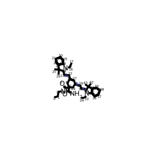 CCCNC(=O)C1(C(N)=O)CC(/C=C/C2=[N+](CC)c3ccccc3C2(C)C)=CC(=C/C=C2/N(CC)c3ccccc3C2(C)C)/C1